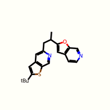 CC(Cc1cc2cc(C(C)(C)C)sc2cn1)c1cc2ccncc2o1